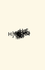 Cc1ccccc1C(=O)Nc1ccc(S(=O)(=O)NC(C)C2CCCCN2)c2ccccc12